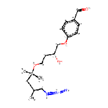 CC(CN=[N+]=[N-])C[Si](C)(C)OCC[C@@H](O)COc1ccc(C=O)cc1